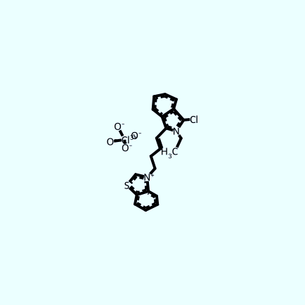 CCn1c(Cl)c2ccccc2c1C=CCC[n+]1csc2ccccc21.[O-][Cl+3]([O-])([O-])[O-]